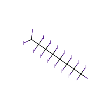 IC(I)C(I)(I)C(I)(I)C(I)(I)C(I)(I)C(I)(I)C(I)(I)C(I)(I)I